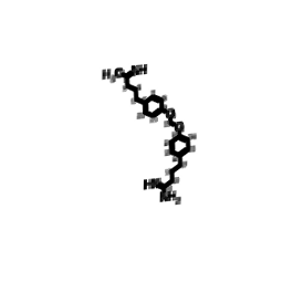 CC(=N)CCCc1ccc(OCOc2ccc(CCCC(=N)N)cc2)cc1